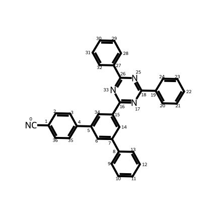 N#Cc1ccc(-c2cc(-c3ccccc3)cc(-c3nc(-c4ccccc4)nc(-c4ccccc4)n3)c2)cc1